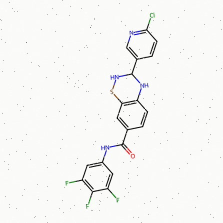 O=C(Nc1cc(F)c(F)c(F)c1)c1ccc2c(c1)SNC(c1ccc(Cl)nc1)N2